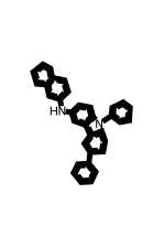 c1ccc(-c2ccc3c(c2)c2cc(Nc4ccc5ccccc5c4)ccc2n3-c2ccccc2)cc1